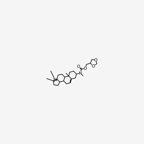 CC1C2CCC3C4CC=C5CC(N(C)C(=O)OCC6COCO6)CCC5(C)C4CCC32CN1C